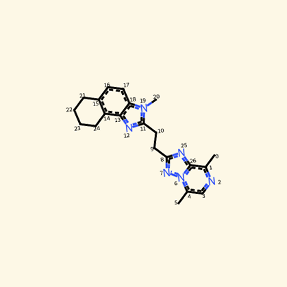 Cc1ncc(C)n2nc(CCc3nc4c5c(ccc4n3C)CCCC5)nc12